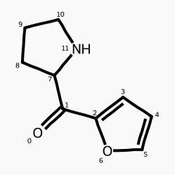 O=C(c1ccco1)C1CCCN1